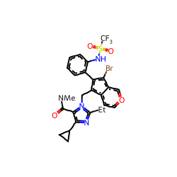 CCc1nc(C2CC2)c(C(=O)NC)n1Cc1c2ccocc-2c(Br)c1-c1ccccc1NS(=O)(=O)C(F)(F)F